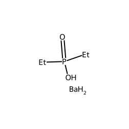 CCP(=O)(O)CC.[BaH2]